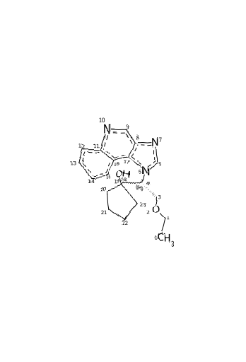 CCOC[C@@H](n1cnc2cnc3ccccc3c21)C1(O)CCCC1